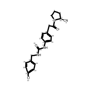 N#C[C@@H]1CCCN1C(=O)Cc1ccc(NC(=O)NCc2ccc(Cl)cc2)cc1